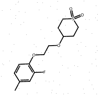 Cc1ccc(OCCOC2CCS(=O)(=O)CC2)c(F)c1